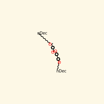 CCCCCCCCCCCCCCCCCCCCOC(C)c1ccc(C(=O)Oc2ccc(-c3ccc(OCCCCCCCCCCCCCCC)cc3)cc2)cc1